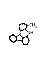 Cc1cccc2c1Nc1cccc3c1B2c1ccccc1-3